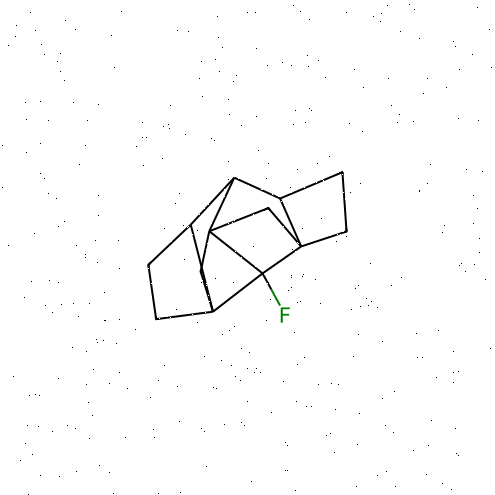 FC12C34CCC3C3C5CCC51CC32C4